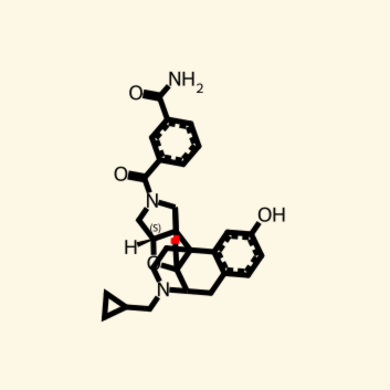 NC(=O)c1cccc(C(=O)N2C[C@H]3OC45CCC2C3C42CCN(CC3CC3)C5Cc3ccc(O)cc32)c1